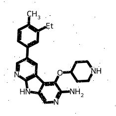 CCc1cc(-c2cnc3[nH]c4cnc(N)c(OC5CCNCC5)c4c3c2)ccc1C